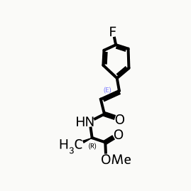 COC(=O)[C@@H](C)NC(=O)/C=C/c1ccc(F)cc1